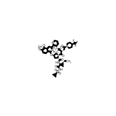 C=C[C@@H]1CC1(NC(=O)[C@@H]1C[C@@H](Oc2nc(-c3ccccn3)cc3c(Cl)c(OC)ccc23)CN1C(=O)[C@@H](CC(=O)N1CCC(C(F)(F)F)CC1)C(C)(C)C)C(=O)NS(=O)(=O)C1CC1